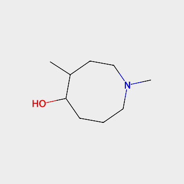 CC1CCN(C)CCCC1O